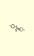 Cc1ccc(SC(=S)N2CCC(C)CC2)cc1